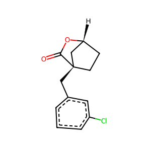 O=C1O[C@@H]2CC[C@@]1(Cc1cccc(Cl)c1)C2